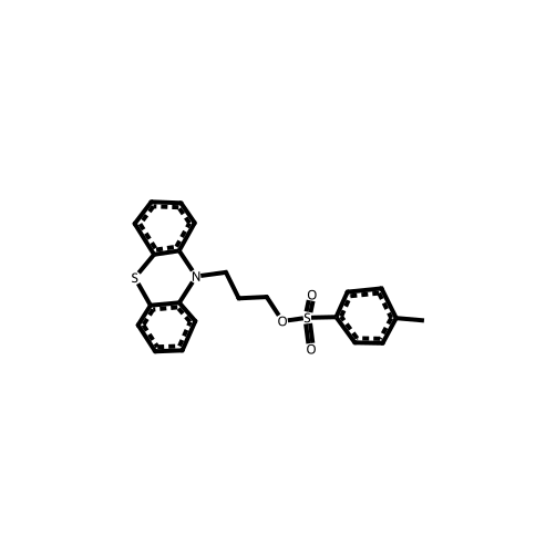 Cc1ccc(S(=O)(=O)OCCCN2c3ccccc3Sc3ccccc32)cc1